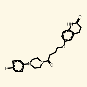 O=C1CCc2cc(OCCCC(=O)N3CCN(c4ccc(F)cc4)CC3)ccc2N1